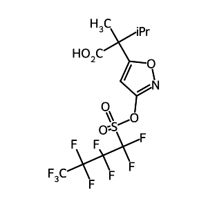 CC(C)C(C)(C(=O)O)c1cc(OS(=O)(=O)C(F)(F)C(F)(F)C(F)(F)C(F)(F)F)no1